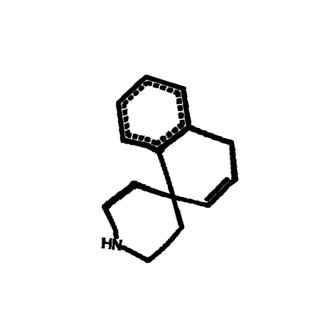 C1=CC2(CCNCC2)c2ccccc2C1